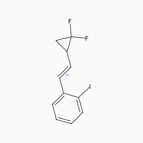 FC1(F)CC1/C=C/c1ccccc1I